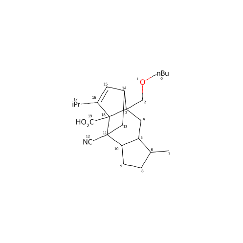 CCCCOCC12CC3C(C)CCC3C3(C#N)CC1C=C(C(C)C)C32C(=O)O